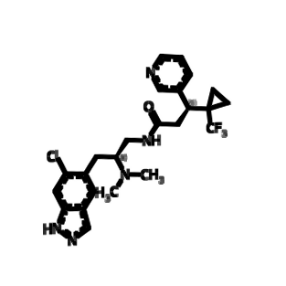 CN(C)[C@H](CNC(=O)C[C@@H](c1cccnc1)C1(C(F)(F)F)CC1)Cc1cc2cn[nH]c2cc1Cl